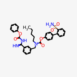 CCCCCN(Cc1cccc(C(=N)NC(=O)Oc2ccccc2)c1)C(=O)Oc1ccc(-c2ccccc2S(N)(=O)=O)cc1